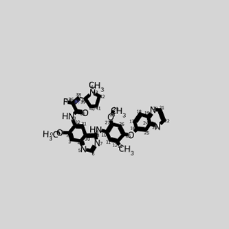 COc1cc2ncnc(Nc3cc(C)c(Oc4ccc5nccnc5c4)cc3OC)c2cc1NC(=O)/C(F)=C\[C@H]1CCCN1C